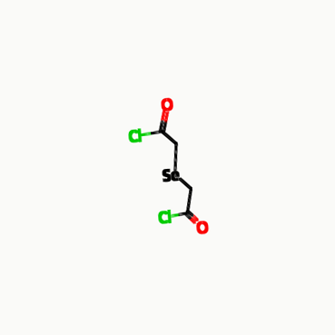 O=C(Cl)C[Se]CC(=O)Cl